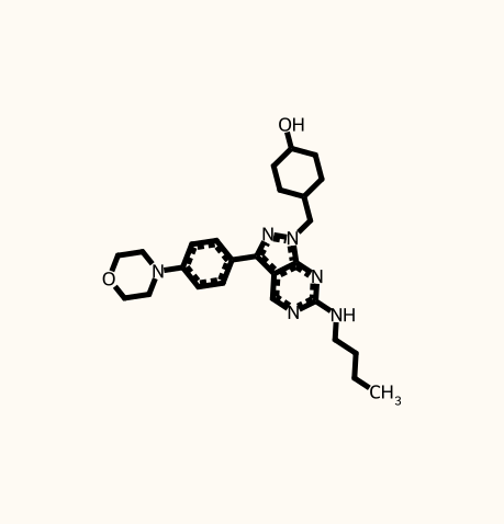 CCCCNc1ncc2c(-c3ccc(N4CCOCC4)cc3)nn(CC3CCC(O)CC3)c2n1